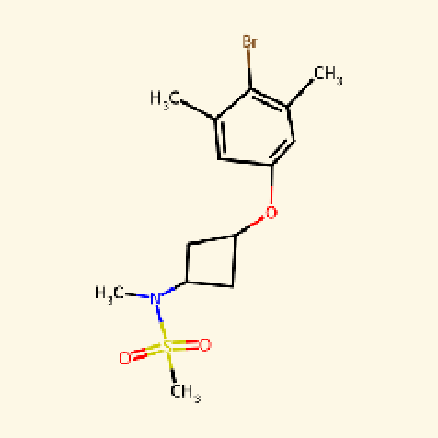 Cc1cc(OC2CC(N(C)S(C)(=O)=O)C2)cc(C)c1Br